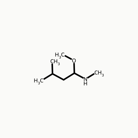 CNC(CC(C)C)OC